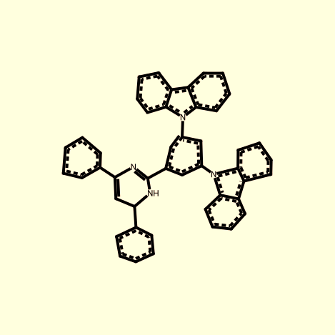 C1=C(c2ccccc2)N=C(c2cc(-n3c4ccccc4c4ccccc43)cc(-n3c4ccccc4c4ccccc43)c2)NC1c1ccccc1